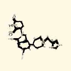 O=C1CCC(N2Cc3c(cc(F)cc3C3CCN(Cc4cscn4)CC3)C2=O)C(=O)N1